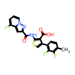 Cc1ccc(-c2csc(NC(=O)c3cc4c(F)cccn4n3)c2C(=O)O)c(F)c1F